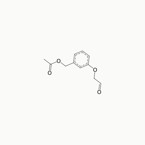 CC(=O)OCc1cccc(OCC=O)c1